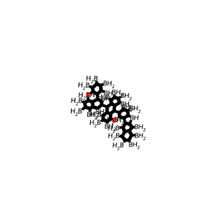 Bc1c(B)c(B)c(-c2c(B)c(-c3c4c(B)c(B)c(B)c(B)c4c(-c4c(B)c(B)c5c(c4B)-c4c(c(B)c6c(B)c(B)c(B)c(B)c6c4B)B5)c4c(B)c(B)c(B)c(B)c34)c(B)c3c(B)c(B)c(B)c(B)c23)c(B)c1B